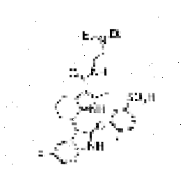 CCN(CC)CCNC(=O)c1c(C)[nH]c2c1CCCC2=C1C(=O)Nc2ccc(F)cc21.Cc1ccc(S(=O)(=O)O)cc1